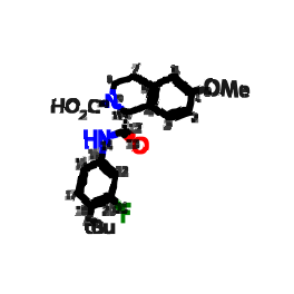 COc1ccc2c(c1)CCN(C(=O)O)[C@H]2C(=O)Nc1ccc(C(C)(C)C)c(F)c1